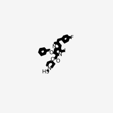 O=C(OC1CCN(S)CC1)c1nc(I)c2cc(Cc3ccc(F)cc3)cnc2c1OCc1ccccc1